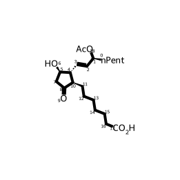 CCCCC[C@@H](/C=C/[C@H]1[C@H](O)CC(=O)[C@@H]1CCCCCCC(=O)O)OC(C)=O